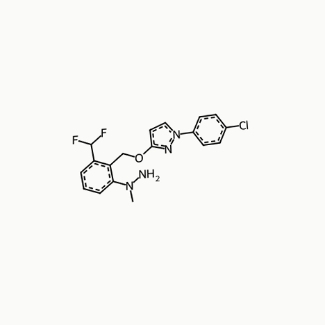 CN(N)c1cccc(C(F)F)c1COc1ccn(-c2ccc(Cl)cc2)n1